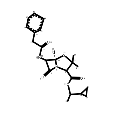 CC(OC(=O)C1N2C(=O)C(NC(=O)Cc3ccccc3)[C@H]2SC1(C)C)C1CC1